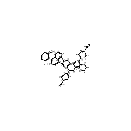 Cc1cccc(C)c1-c1ccc2c3c(cccc13)-c1cc3c(cc1-2)c(-c1ccc(C#N)cc1)cc1c2ccccc2c(-c2ccc(C#N)cc2)cc31